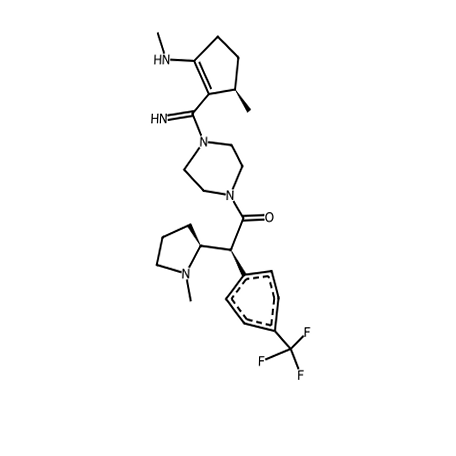 CNC1=C(C(=N)N2CCN(C(=O)[C@@H](c3ccc(C(F)(F)F)cc3)[C@@H]3CCCN3C)CC2)[C@H](C)CC1